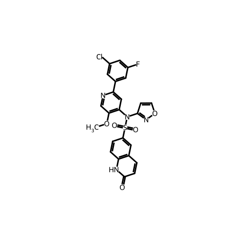 COc1cnc(-c2cc(F)cc(Cl)c2)cc1N(c1ccon1)S(=O)(=O)c1ccc2[nH]c(=O)ccc2c1